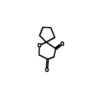 O=C1COC2(CCCC2)C(=O)C1